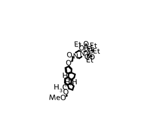 CCOP(=O)(OCC)C(N1CCN(C(=O)COc2ccc3c(c2)CC[C@@H]2[C@@H]3CC[C@]3(C)C(OCOC)CC[C@@H]23)CC1)P(=O)(OCC)OCC